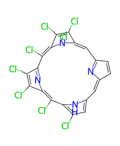 ClC1=C(Cl)c2nc1c(Cl)c1[nH]c(cc3nc(cc4c(Cl)c(Cl)c(c2Cl)n4Cl)C=C3)cc1Cl